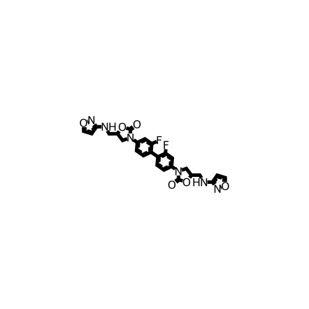 O=C1OC(CNc2ccon2)CN1c1ccc(-c2ccc(N3CC(CNc4ccon4)OC3=O)cc2F)c(F)c1